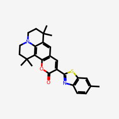 Cc1ccc2nc(-c3cc4cc5c6c(c4oc3=O)C(C)(C)CCN6CCC5(C)C)sc2c1